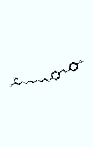 CCC(O)CCCCCCCCOc1ccc(N=Nc2ccc(O)cc2)cc1